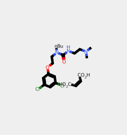 CCCCN(CCOc1cc(Cl)cc(Cl)c1)C(=O)NCCN(C)C.O=C(O)/C=C\C(=O)O